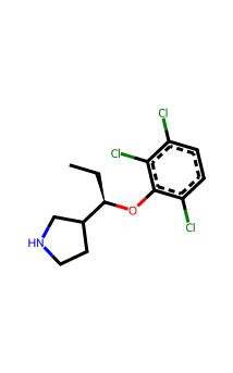 CC[C@@H](Oc1c(Cl)ccc(Cl)c1Cl)C1CCNC1